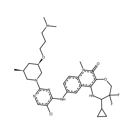 C[C@H]1C[C@@H](OCCCN(C)C)CN(c2ncc(Cl)c(Nc3ccc4c(c3)c3c(c(=O)n4C)OCC(F)(F)C(C4CC4)N3)n2)C1